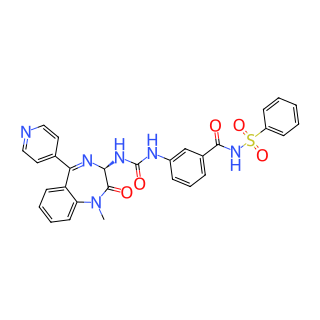 CN1C(=O)[C@H](NC(=O)Nc2cccc(C(=O)NS(=O)(=O)c3ccccc3)c2)N=C(c2ccncc2)c2ccccc21